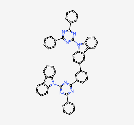 c1ccc(-c2nc(-c3cccc(-c4ccc5c(c4)c4ccccc4n5-c4nc(-c5ccccc5)nc(-c5ccccc5)n4)c3)nc(-n3c4ccccc4c4ccccc43)n2)cc1